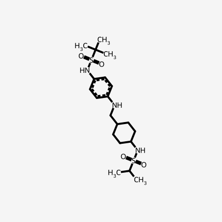 CC(C)S(=O)(=O)NC1CCC(CNc2ccc(NS(=O)(=O)C(C)(C)C)cc2)CC1